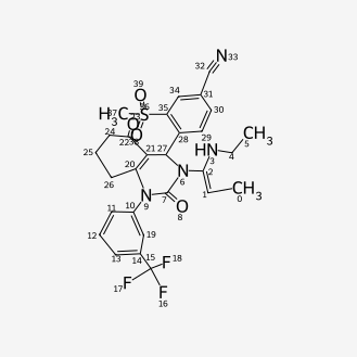 CC=C(NCC)N1C(=O)N(c2cccc(C(F)(F)F)c2)C2=C(C(=O)CCC2)C1c1ccc(C#N)cc1S(C)(=O)=O